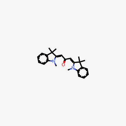 CN1C(=CC(=O)C=C2N(C)c3ccccc3C2(C)C)C(C)(C)c2ccccc21